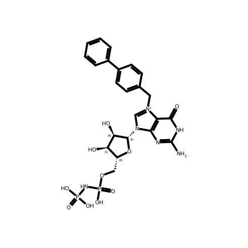 Nc1nc2c(c(=O)[nH]1)[n+](Cc1ccc(-c3ccccc3)cc1)cn2[C@@H]1O[C@H](COP(=O)(O)NP(=O)(O)O)[C@@H](O)[C@H]1O